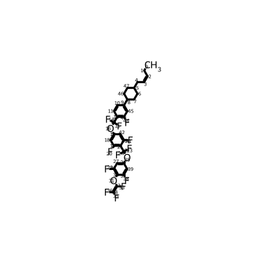 CC/C=C\CC1CCC(c2ccc(C(F)(F)Oc3cc(F)c(C(F)(F)Oc4cc(F)c(OC(F)=C(F)F)c(F)c4)c(F)c3)c(F)c2)CC1